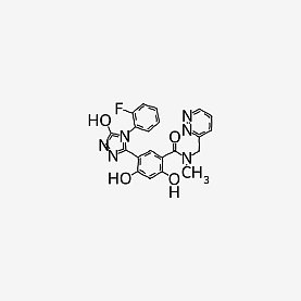 CN(Cc1cccnn1)C(=O)c1cc(-c2nnc(O)n2-c2ccccc2F)c(O)cc1O